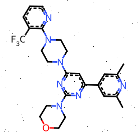 Cc1cc(-c2cc(N3CCN(c4ncccc4C(F)(F)F)CC3)nc(N3CCOCC3)n2)cc(C)n1